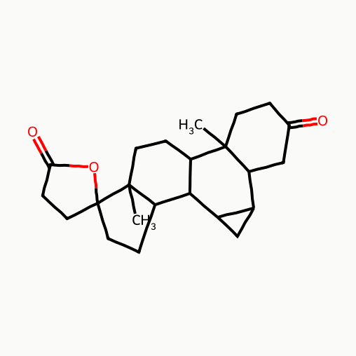 CC12CCC(=O)CC1C1CC1C1C2CCC2(C)C1CCC21CCC(=O)O1